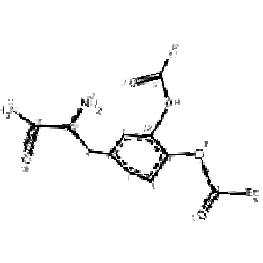 CCC(=O)Oc1ccc(C[C@H](N)C(N)=O)cc1OC(=O)CC